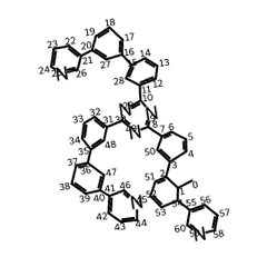 CC1C(c2cccc(-c3nc(-c4cccc(-c5cccc(-c6cccnc6)c5)c4)nc(-c4cccc(-c5cccc(-c6cccnc6)c5)c4)n3)c2)=CC=CC1c1cccnc1